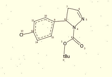 CC(C)(C)OC(=O)N1N=CCC1c1ccc(Cl)cc1